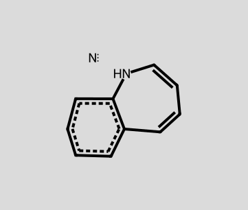 C1=CNc2ccccc2C=C1.[N]